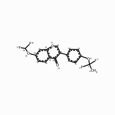 CC(F)(F)Oc1ccc(-c2coc3cc(OC(F)F)ccc3c2=O)cc1